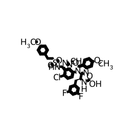 COc1ccc(CCS(=O)(=O)Nc2nn(C)c3c(-n4c([C@H](Cc5cc(F)cc(F)c5)NC(=O)O)nc5cc(OC)ccc5c4=O)ccc(Cl)c23)cc1